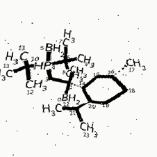 BC(C)(C[PH](B)(C(C)(C)C)C(C)(C)C)[C@@H]1C[C@H](C)CC[C@H]1C(C)C